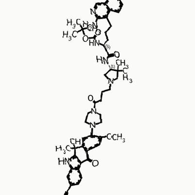 CCc1cc2c(cc1N1CCN(C(=O)CCCN3C[C@H](NC(=O)[C@H](CCCc4c(N)ncc5ccccc45)NC(=O)OC(C)(C)C)C(C)(C)C3)CC1)C(C)(C)c1[nH]c3cc(C#N)ccc3c1C2=O